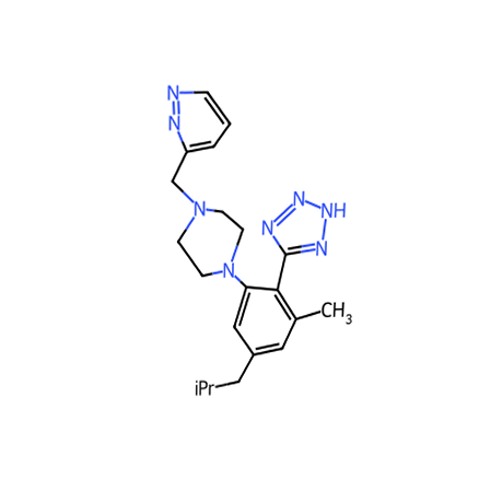 Cc1cc(CC(C)C)cc(N2CCN(Cc3cccnn3)CC2)c1-c1nn[nH]n1